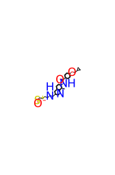 Cc1c(NC(=O)c2ccc(OCC3CC3)cc2)ccc2cc(CNCCCC[S+](C)[O-])cnc12